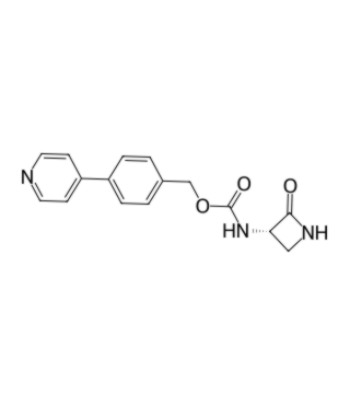 O=C(N[C@H]1CNC1=O)OCc1ccc(-c2ccncc2)cc1